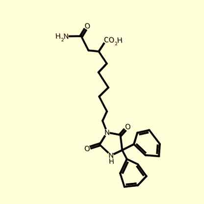 NC(=O)CC(CCCCCCN1C(=O)NC(c2ccccc2)(c2ccccc2)C1=O)C(=O)O